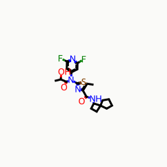 Cc1sc(N(C(=O)C(C)O)c2cc(F)nc(F)c2)nc1C(=O)NC1CCC12CCCC2